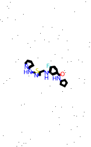 O=C(NC1CCCC1)c1ccc(F)c(NCc2cnc(Nc3ccccn3)s2)c1